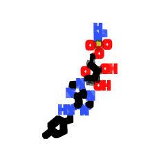 Cc1ccc(CNc2ncnc3c2ncn3[C@@H]2O[C@H](COS(N)(=O)=O)[C@@H](O)[C@H]2O)cc1